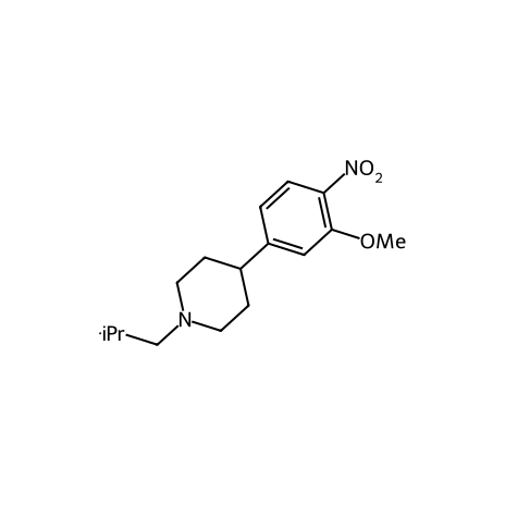 COc1cc(C2CCN(C[C](C)C)CC2)ccc1[N+](=O)[O-]